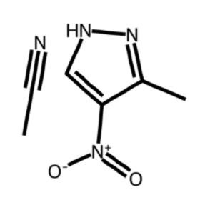 CC#N.Cc1n[nH]cc1[N+](=O)[O-]